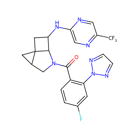 O=C(c1ccc(F)cc1-n1nccn1)N1CC2CC23CC(Nc2cnc(C(F)(F)F)cn2)C13